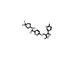 Cc1ccc(-c2noc(C)c2COc2ccc(C(=O)NC3CCC(F)(F)CC3)nn2)cn1